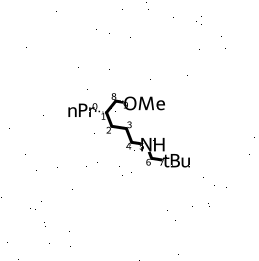 CCC[C@@H](CCCNCC(C)(C)C)COC